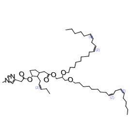 CC/C=C\CC1C(CC(=O)OCC(COCCCCCCCC/C=C\C/C=C\CCCCC)OCCCCCCCC/C=C\C/C=C\CCCCC)CCC1OC(=O)Cc1cn(C)cn1